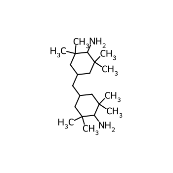 CC1(C)CC(CC2CC(C)(C)C(N)C(C)(C)C2)CC(C)(C)C1N